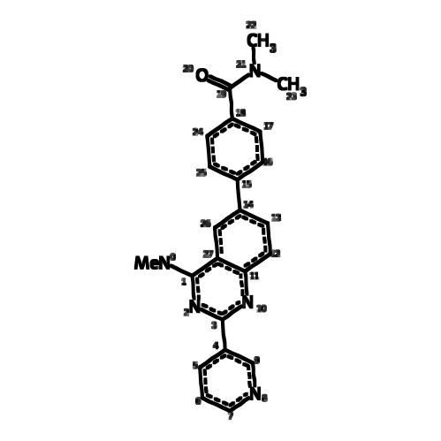 CNc1nc(-c2cccnc2)nc2ccc(-c3ccc(C(=O)N(C)C)cc3)cc12